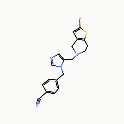 N#Cc1ccc(Cn2cncc2CN2CCc3sc(Br)cc3C2)cc1